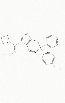 CON=C(c1n[nH]c2c1C=CC(c1ccccc1)(c1ccc(OC)cc1)C2)C1CCC1